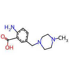 CN1CCN(Cc2ccc(N)c(C(=O)O)c2)CC1